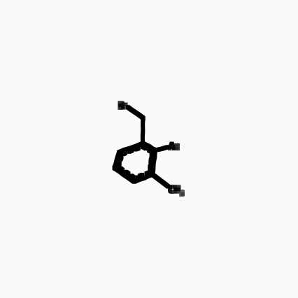 CC(=O)c1c(C)cccc1CBr